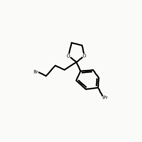 CC(C)c1ccc(C2(CCCBr)OCCO2)cc1